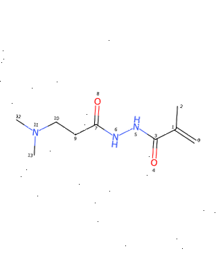 C=C(C)C(=O)NNC(=O)CCN(C)C